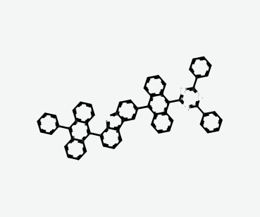 c1ccc(-c2nc(-c3ccccc3)nc(-c3c4ccccc4c(-c4ccc5sc6c(-c7c8ccccc8c(-c8ccccc8)c8ccccc78)cccc6c5c4)c4ccccc34)n2)cc1